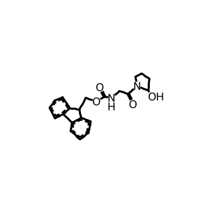 O=C(NCC(=O)N1CCCC1O)OCC1c2ccccc2-c2ccccc21